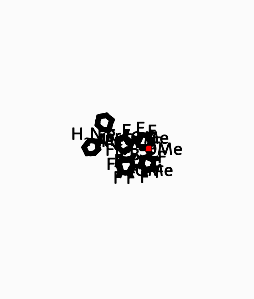 CC(C)C1([NH2+]C2(C(C)C)CCCCC2)CCCCC1.COc1c(F)c(F)c(F)c(F)c1[B-](c1c(F)c(F)c(F)c(F)c1OC)(c1c(F)c(F)c(F)c(F)c1OC)c1c(F)c(F)c(F)c(F)c1OC